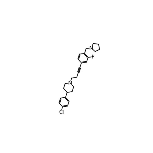 Fc1cc(C#CCCN2CCC(c3ccc(Cl)cc3)CC2)ccc1CN1CCCC1